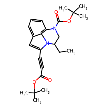 CCC1CN(C(=O)OC(C)(C)C)c2cccc3cc(C#CC(=O)OC(C)(C)C)n1c23